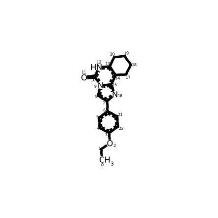 CCOc1ccc(-c2cn3c(=O)[nH]c4c(c3n2)CCCC4)cc1